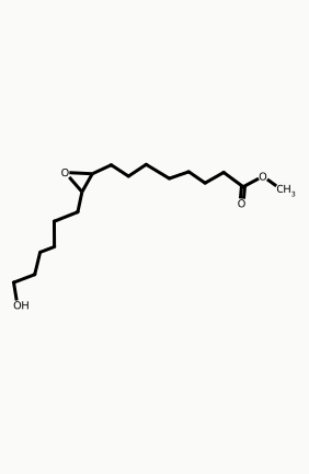 COC(=O)CCCCCCCC1OC1CCCCCCO